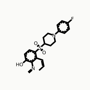 C=Nc1c(O)ccc(S(=O)(=O)C2CCN(c3ccc(F)cc3)CC2)c1/C=C\C